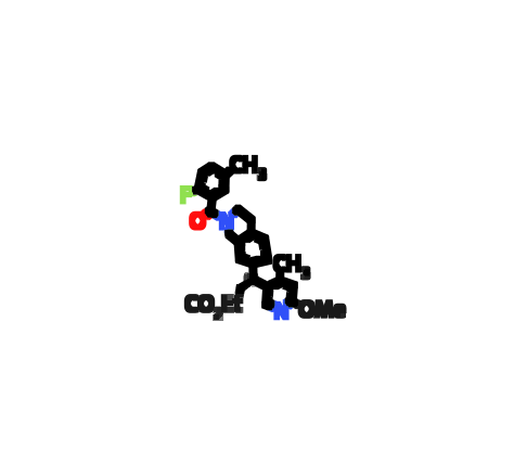 CCOC(=O)C[C@@H](c1ccc2c(c1)CN(C(=O)c1cc(C)ccc1F)CC2)c1cnc(OC)cc1C